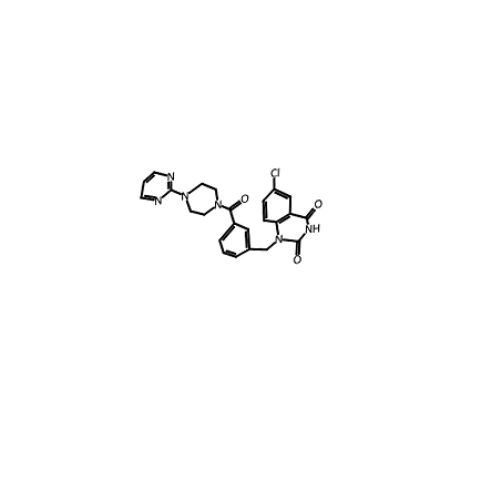 O=C(c1cccc(Cn2c(=O)[nH]c(=O)c3cc(Cl)ccc32)c1)N1CCN(c2ncccn2)CC1